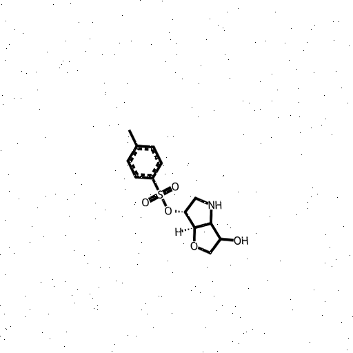 Cc1ccc(S(=O)(=O)O[C@@H]2CNC3C(O)CO[C@H]32)cc1